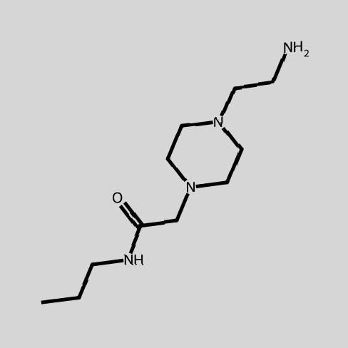 CCCNC(=O)CN1CCN(CCN)CC1